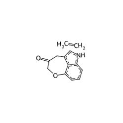 C=C.O=C1COc2cccc3[nH]cc(c23)C1